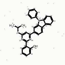 CC(C)Sc1cc(-c2ccc3c4ccccc4n(-c4ccccc4)c3c2)nc(-c2ccccc2O)n1